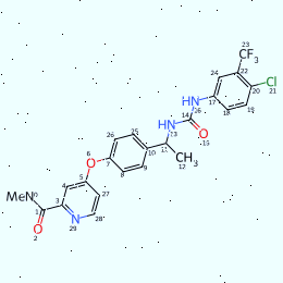 CNC(=O)c1cc(Oc2ccc(C(C)NC(=O)Nc3ccc(Cl)c(C(F)(F)F)c3)cc2)ccn1